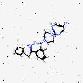 Nc1cnc(N2CCN(c3nnc(Cc4ccccc4)c4ccccc34)CC2)nc1